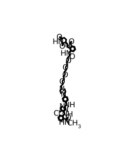 CNC(=O)c1ccccc1Nc1nc(Nc2ccc(N3CCN(CCOCCOCCOCCOCC(=O)Nc4cccc5c4CN(C4CCC(=O)NC4=O)C5=O)CC3)cc2)ncc1Cl